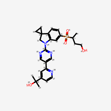 CC(CCO)S(=O)(=O)c1ccc2c(c1)N(c1ncc(-c3cc(C(C)(C)O)ccn3)cn1)CC21CC1